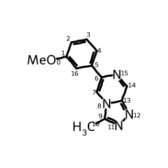 COc1cccc(-c2cn3c(C)nnc3cn2)c1